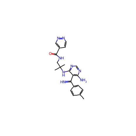 Cc1ccc(C(=N)c2c(N)ncnc2NC(C)(C)CNC(=O)c2ccnnc2)cc1